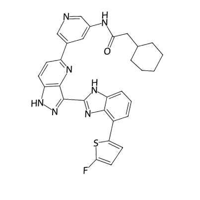 O=C(CC1CCCCC1)Nc1cncc(-c2ccc3[nH]nc(-c4nc5c(-c6ccc(F)s6)cccc5[nH]4)c3n2)c1